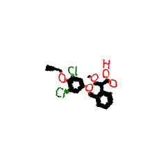 C#CCOc1c(Cl)cc(OCc2ccccc2C(=COC)C(=O)O)cc1Cl